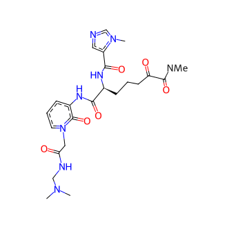 CNC(=O)C(=O)CCC[C@H](NC(=O)c1cncn1C)C(=O)Nc1cccn(CC(=O)NCN(C)C)c1=O